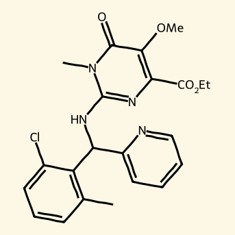 CCOC(=O)c1nc(NC(c2ccccn2)c2c(C)cccc2Cl)n(C)c(=O)c1OC